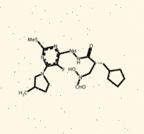 CSc1nc(NNC(=O)[C@H](CC2CCCC2)CN(O)C=O)c(F)c(N2CCC(C)C2)n1